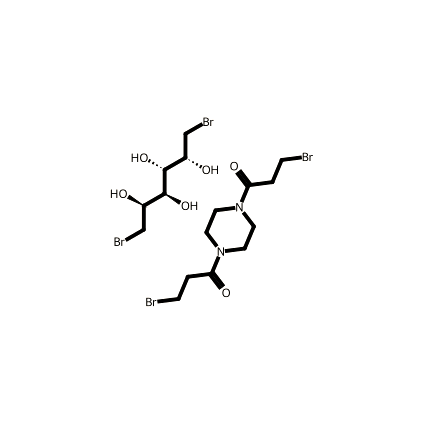 O=C(CCBr)N1CCN(C(=O)CCBr)CC1.O[C@H]([C@H](O)[C@@H](O)CBr)[C@H](O)CBr